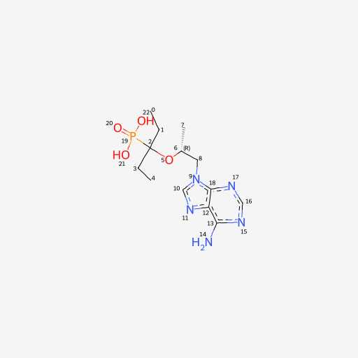 CCC(CC)(O[C@H](C)Cn1cnc2c(N)ncnc21)P(=O)(O)O